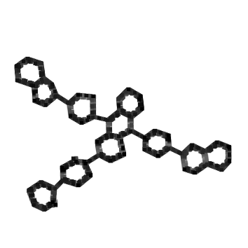 c1ccc(-c2ccc(-c3ccc4c(-c5ccc(-c6ccc7ccccc7c6)cc5)c5ccccc5c(-c5ccc(-c6ccc7ccccc7c6)cc5)c4c3)nc2)nc1